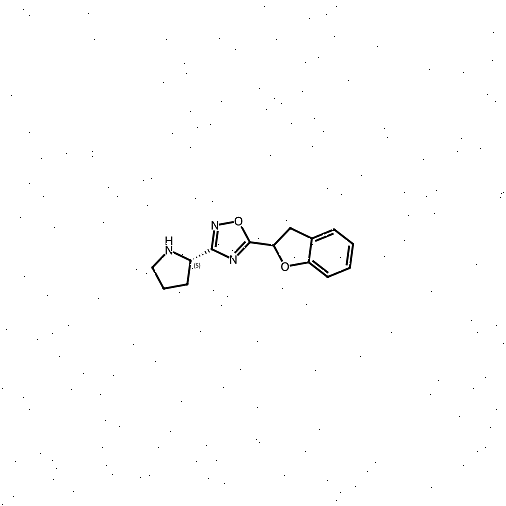 c1ccc2c(c1)CC(c1nc([C@@H]3CCCN3)no1)O2